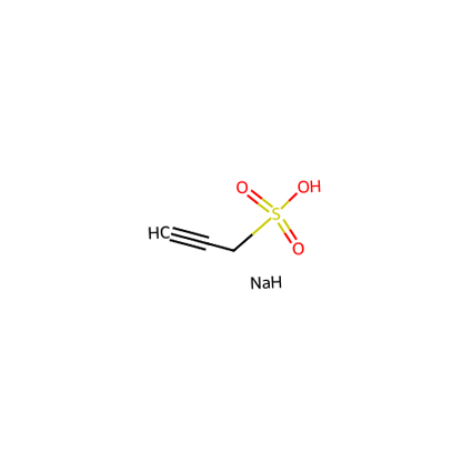 C#CCS(=O)(=O)O.[NaH]